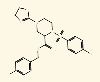 CC(C)c1ccc(S(=O)(=O)N2CCN(C3=NCCO3)CC2C(=O)NCc2ccc(C(F)(F)F)cc2)cc1